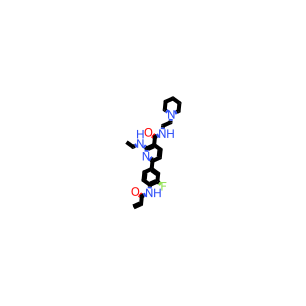 C=CC(=O)Nc1ccc(-c2ccc(C(=O)NCCN3CCCCC3)c(NCC)n2)cc1F